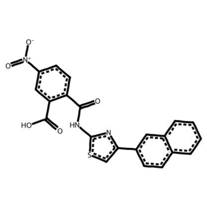 O=C(O)c1cc([N+](=O)[O-])ccc1C(=O)Nc1nc(-c2ccc3ccccc3c2)cs1